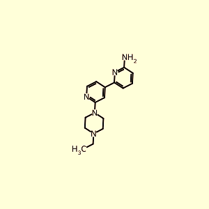 CCN1CCN(c2cc(-c3cccc(N)n3)ccn2)CC1